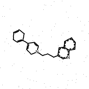 C1=CCC(C2=CCN(CCCc3cnc4ccccc4c3)C=C2)=CC1